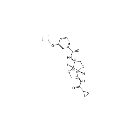 O=C(N[C@H]1CO[C@H]2[C@@H]1OC[C@@H]2NC(=O)C1CC1)c1cccc(OC2CCC2)c1